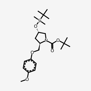 COc1ccc(OC[C@H]2C[C@H](O[Si](C)(C)C(C)(C)C)CN2C(=O)OC(C)(C)C)cc1